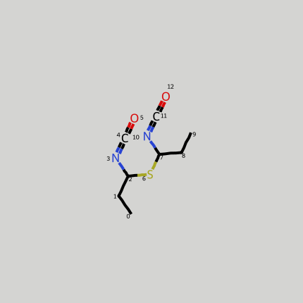 CCC(N=C=O)SC(CC)N=C=O